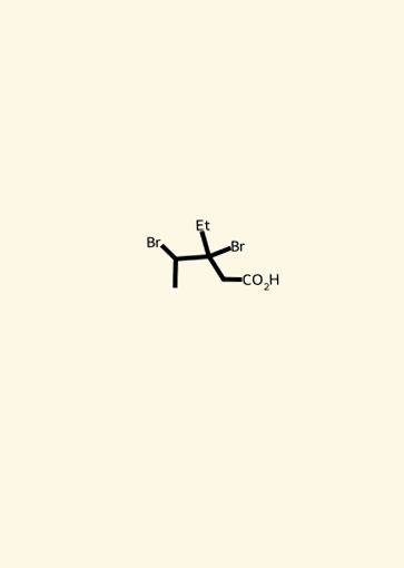 CCC(Br)(CC(=O)O)C(C)Br